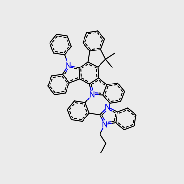 CCCn1c(-c2ccccc2-n2c3ccccc3c3c4c(c5c(c6ccccc6n5-c5ccccc5)c32)-c2ccccc2C4(C)C)nc2ccccc21